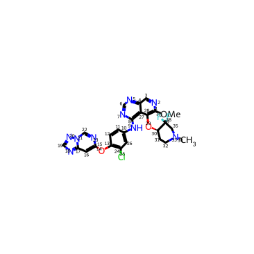 COc1ncc2ncnc(Nc3ccc(Oc4cc5ncnn5cn4)c(Cl)c3)c2c1O[C@@H]1CCN(C)CC1(F)F